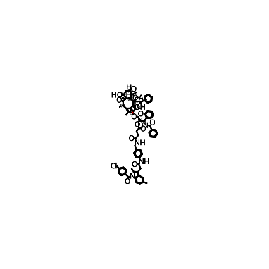 CC(=O)O[C@@]12CO[C@@H]1C[C@H](O)[C@@]1(C)C(=O)[C@H](C)C3=C(C)[C@@H](OC(=O)[C@H](OC(=O)CCC(=O)NCc4ccc(NC(=O)Cc5c(C)n(C(=O)c6ccc(Cl)cc6)c6ccc(C)cc56)cc4)[C@@H](NC(=O)c4ccccc4)c4ccccc4)C[C@@](O)([C@@H](OC(=O)c4ccccc4)[C@H]21)C3(C)C